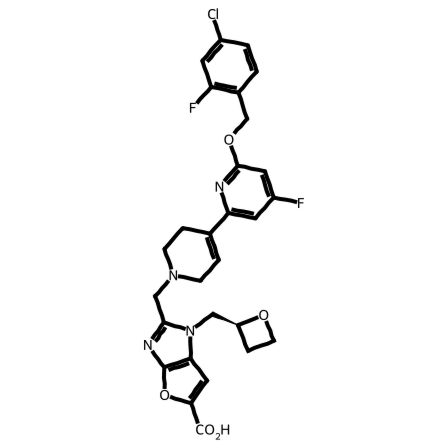 O=C(O)c1cc2c(nc(CN3CC=C(c4cc(F)cc(OCc5ccc(Cl)cc5F)n4)CC3)n2C[C@@H]2CCO2)o1